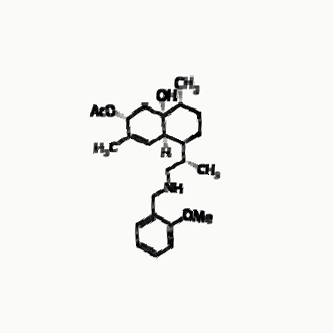 COc1ccccc1CNC[C@@H](C)[C@@H]1CC[C@@H](C)[C@]2(O)[C][C@@H](OC(C)=O)C(C)=C[C@H]12